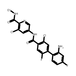 CCNC(=O)c1ncc(NC(=O)c2cc(F)c(-c3ccc(F)cc3N)cc2Cl)cc1Cl